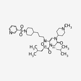 CC(C)C[C@H]1ON(CCCC2CCN(S(=O)(=O)c3cccnc3)CC2)C2=CN(C3CCN(C)CC3)C(=O)[C@H](CC(C)C)N2C1=O